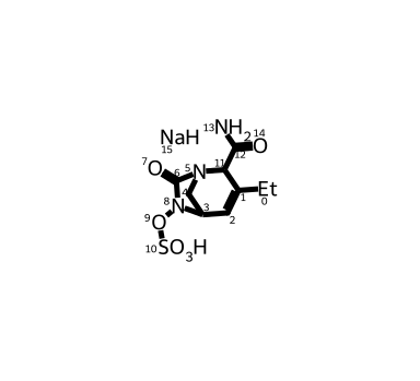 CCC1=CC2CN(C(=O)N2OS(=O)(=O)O)C1C(N)=O.[NaH]